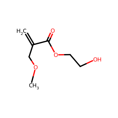 C=C(COC)C(=O)OCCO